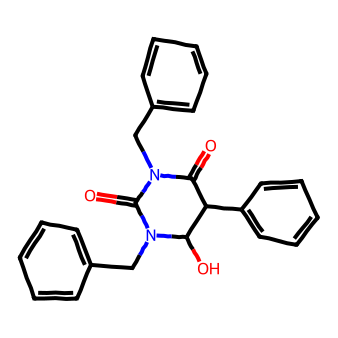 O=C1C(c2ccccc2)C(O)N(Cc2ccccc2)C(=O)N1Cc1ccccc1